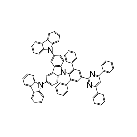 c1ccc(-c2cc(-c3ccccc3)nc(-c3cc(-c4ccccc4)c(-n4c5ccc(-n6c7ccccc7c7ccccc76)cc5c5cc(-n6c7ccccc7c7ccccc76)ccc54)c(-c4ccccc4)c3)n2)cc1